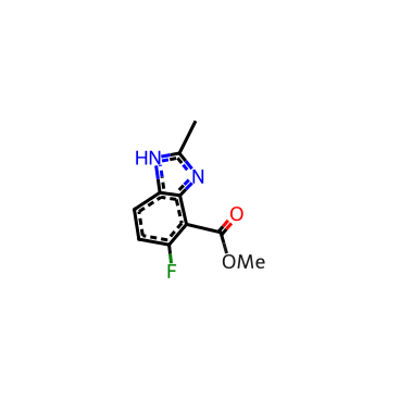 COC(=O)c1c(F)ccc2[nH]c(C)nc12